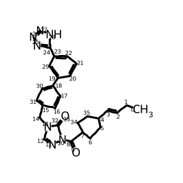 CCC=CC1CCC(C(=O)n2ncn(Cc3ccc(-c4cccc(-c5nnn[nH]5)c4)cc3)c2=O)CC1